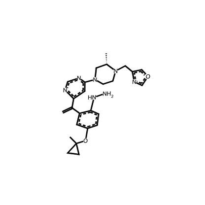 C=C(c1cc(N2CCN(Cc3cocn3)[C@@H](C)C2)ncn1)c1cc(OC2(C)CC2)ccc1NN